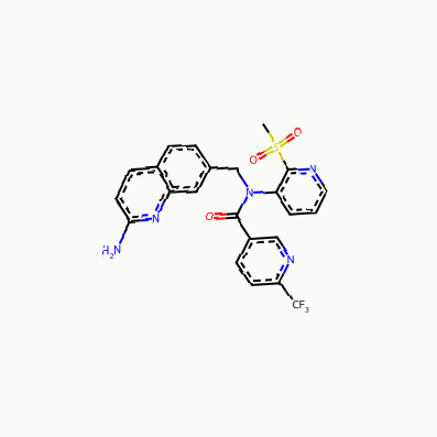 CS(=O)(=O)c1ncccc1N(Cc1ccc2ccc(N)nc2c1)C(=O)c1ccc(C(F)(F)F)nc1